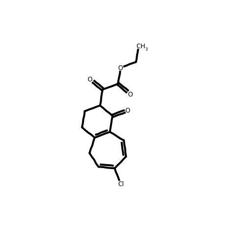 CCOC(=O)C(=O)C1CCC2=C(C=CC(Cl)=CC2)C1=O